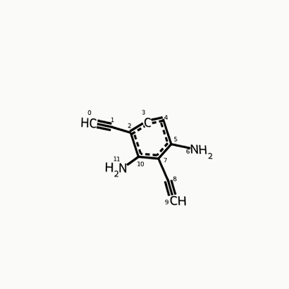 C#Cc1ccc(N)c(C#C)c1N